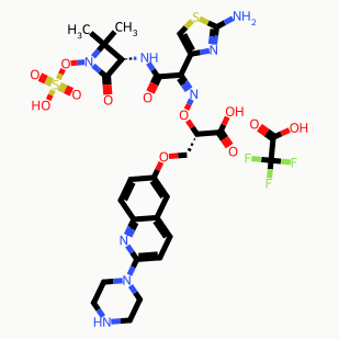 CC1(C)[C@H](NC(=O)/C(=N\O[C@@H](COc2ccc3nc(N4CCNCC4)ccc3c2)C(=O)O)c2csc(N)n2)C(=O)N1OS(=O)(=O)O.O=C(O)C(F)(F)F